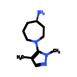 Cc1cnn(C)c1N1CCC[C@H](N)CC1